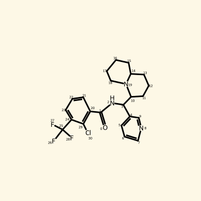 O=C(NC(c1cccnc1)C1CCCC2CCCCN21)c1cccc(C(F)(F)F)c1Cl